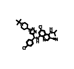 CC(C)Nc1c(C#N)cnc2c(N[C@@H](c3ccc(Cl)cc3)c3cn(C4CCN(C(C)(C)C)CC4)nn3)cc(Cl)cc12